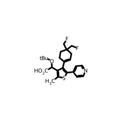 Cc1sc(-c2ccncc2)c(C2=CCC(CF)(CF)CC2)c1C(OC(C)(C)C)C(=O)O